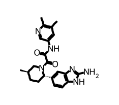 Cc1cc(NC(=O)C(=O)N2C[C@H](C)CC[C@H]2c2ccc3[nH]c(N)nc3c2)cnc1C